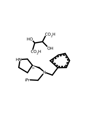 CC(C)CN(Cc1ccccc1)C[C@H]1CCNC1.O=C(O)C(O)C(O)C(=O)O